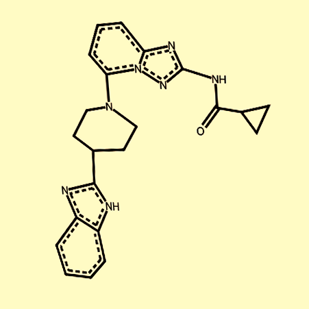 O=C(Nc1nc2cccc(N3CCC(c4nc5ccccc5[nH]4)CC3)n2n1)C1CC1